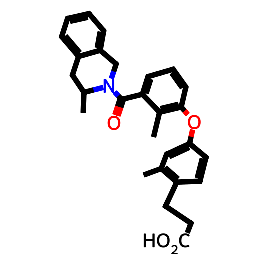 Cc1cc(Oc2cccc(C(=O)N3Cc4ccccc4CC3C)c2C)ccc1CCC(=O)O